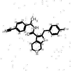 CC(NC(=O)c1c(Cc2ccc(F)cc2)sc2c1CCOC2)c1ccc(C#N)cc1